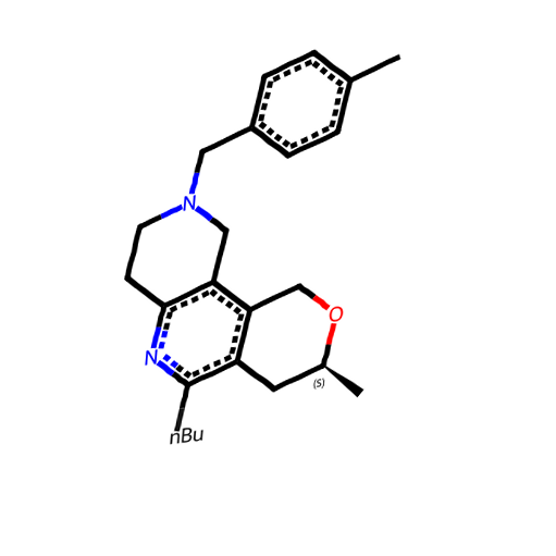 CCCCc1nc2c(c3c1C[C@H](C)OC3)CN(Cc1ccc(C)cc1)CC2